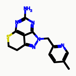 Cc1ccc(Cn2nc3c4c(nc(N)nc42)SCC3)nc1